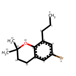 CCCc1cc(Br)cc2c1OC(C)(C)CC2